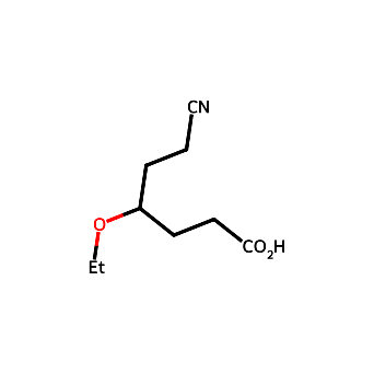 CCOC(CCC#N)CCC(=O)O